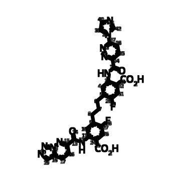 O=C(Nc1cc(CCCc2cc(NC(=O)c3ccc4cnnn4n3)c(C(=O)O)cc2F)c(F)cc1C(=O)O)c1ccc(-n2ccnc2)nn1